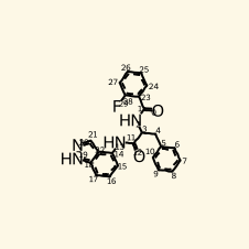 O=C(NC(Cc1ccccc1)C(=O)Nc1cccc2[nH]ncc12)c1ccccc1F